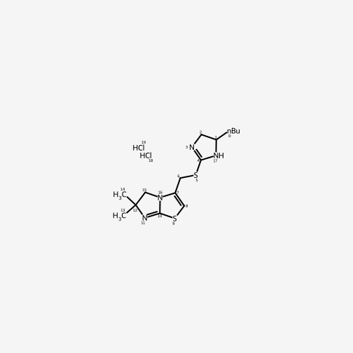 CCCCC1CN=C(SCC2=CSC3=NC(C)(C)CN23)N1.Cl.Cl